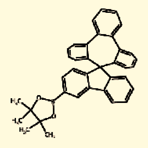 CC1(C)OB(c2ccc3c(c2)-c2ccccc2C32c3ccccc3-c3ccccc3-c3ccccc32)OC1(C)C